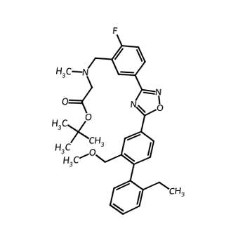 CCc1ccccc1-c1ccc(-c2nc(-c3ccc(F)c(CN(C)CC(=O)OC(C)(C)C)c3)no2)cc1COC